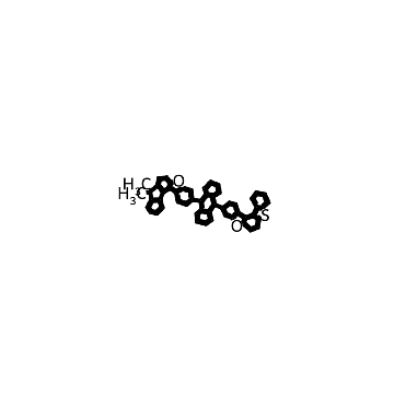 CC1(C)c2ccccc2-c2c1ccc1oc3cc(-c4c5ccccc5c(-c5ccc6c(c5)oc5ccc7sc8ccccc8c7c56)c5ccccc45)ccc3c21